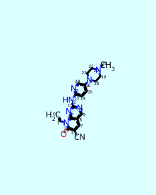 C=Cn1c(=O)c(C#N)cc2cnc(Nc3ccc(N4CCN(C)CC4)cn3)nc21